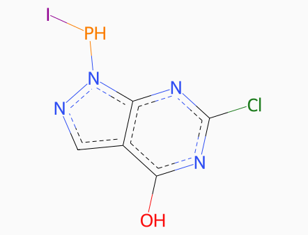 Oc1nc(Cl)nc2c1cnn2PI